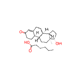 CCCCCC(=O)O.C[C@]12CC[C@H]3[C@@H](CCC4=CC(=O)CC[C@@H]43)[C@@H]1CC[C@@H]2O